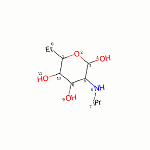 CCC1OC(O)C(NC(C)C)C(O)C1O